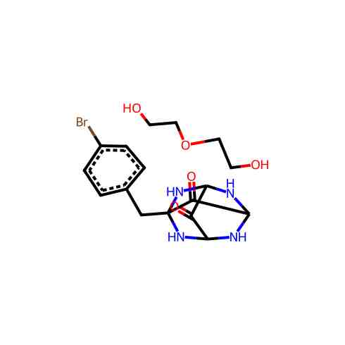 O=C1C2NC3NC1NC(Cc1ccc(Br)cc1)(N2)C3=O.OCCOCCO